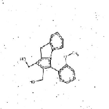 COc1ccccc1-c1c(CO)c(CO)c2n1-c1ccccc1C2